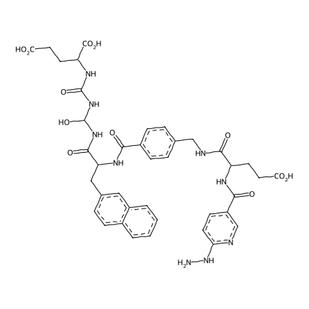 NNc1ccc(C(=O)NC(CCC(=O)O)C(=O)NCc2ccc(C(=O)NC(Cc3ccc4ccccc4c3)C(=O)NC(O)NC(=O)NC(CCC(=O)O)C(=O)O)cc2)cn1